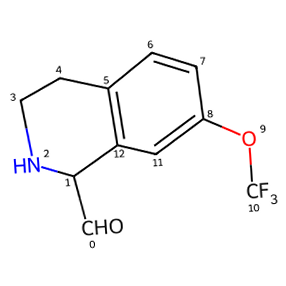 O=CC1NCCc2ccc(OC(F)(F)F)cc21